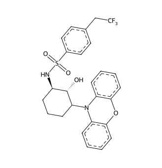 O=S(=O)(N[C@@H]1CCCC(N2c3ccccc3Oc3ccccc32)[C@H]1O)c1ccc(CC(F)(F)F)cc1